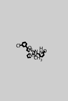 Cn1c(-c2cccc(=O)[nH]2)nnc1N1CCC[C@@H]1c1cc(-c2cccc(Cl)c2)on1